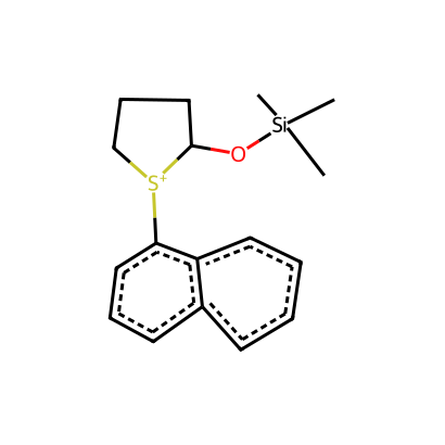 C[Si](C)(C)OC1CCC[S+]1c1cccc2ccccc12